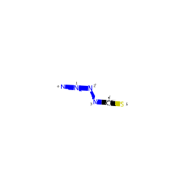 [N-]=[N+]=NN=C=S